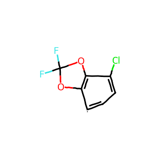 FC1(F)Oc2[c]ccc(Cl)c2O1